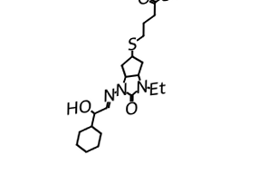 CCN1C(=O)N(/N=C/C(O)C2CCCCC2)C2CC(SCCCC(=O)OC)CC21